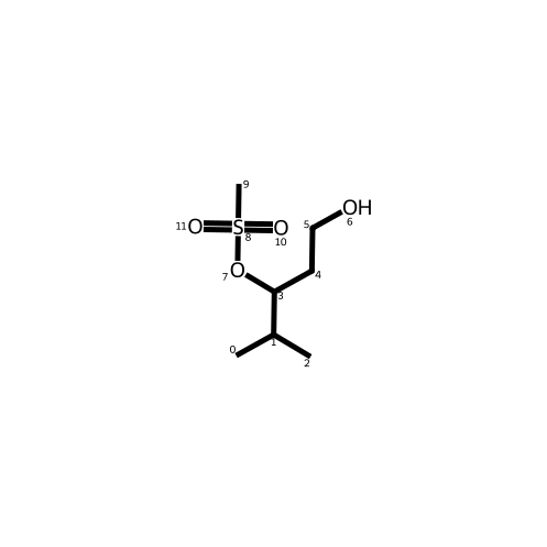 CC(C)C(CCO)OS(C)(=O)=O